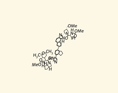 COC[C@H]1C[C@@H](c2nc3ccc4cc(-c5ccc(-c6cnc([C@@H]7C[C@@H]8CCC[C@@H]8N7C(=O)[C@H](NC(=O)OC)C7C[C@@H](C)O[C@H](C)C7)[nH]6)c6c5CCC6)ccc4c3[nH]2)N(C(=O)[C@@H](NC(=O)OC)C(C)C)C1